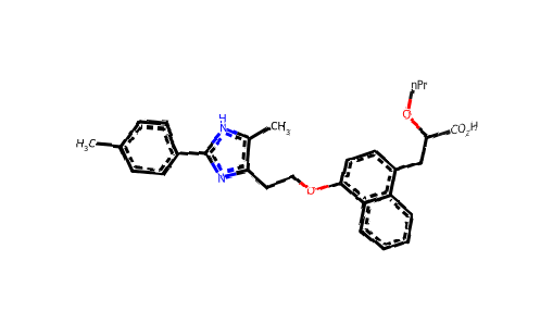 CCCOC(Cc1ccc(OCCc2nc(-c3ccc(C)cc3)[nH]c2C)c2ccccc12)C(=O)O